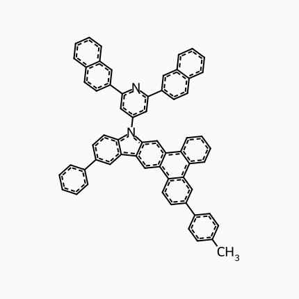 Cc1ccc(-c2ccc3c(c2)c2ccccc2c2cc4c(cc32)c2cc(-c3ccccc3)ccc2n4-c2cc(-c3ccc4ccccc4c3)nc(-c3ccc4ccccc4c3)c2)cc1